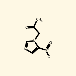 CC(=O)Cn1cncc1[N+](=O)[O-]